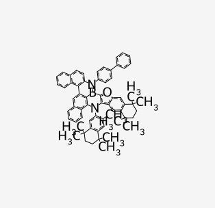 Cc1cc2c(cc1N1c3c4c(cc5ccccc35)-c3c(ccc5ccccc35)N(c3ccc(-c5ccccc5)cc3)B4c3oc4cc5c(cc4c31)C(C)(C)CCC5(C)C)C(C)(C)CCC2(C)C